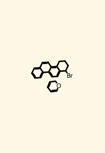 BrC1CCCc2c1ccc1c2ccc2ccccc21.C1=CCOC=C1